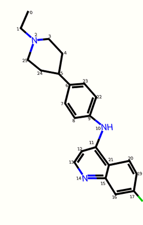 CCN1CCC(c2ccc(Nc3ccnc4cc(Cl)ccc34)cc2)CC1